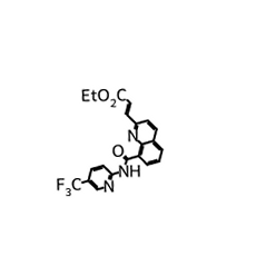 CCOC(=O)C=Cc1ccc2cccc(C(=O)Nc3ccc(C(F)(F)F)cn3)c2n1